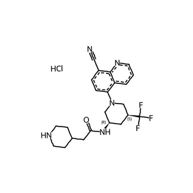 Cl.N#Cc1ccc(N2C[C@H](NC(=O)CC3CCNCC3)C[C@H](C(F)(F)F)C2)c2cccnc12